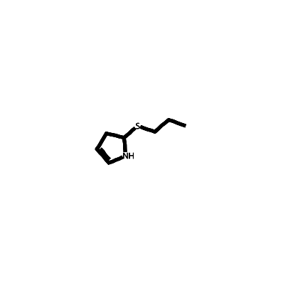 CCCSC1CC=CN1